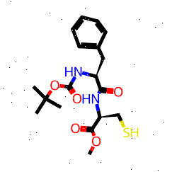 COC(=O)[C@H](CS)NC(=O)[C@H](Cc1ccccc1)NC(=O)OC(C)(C)C